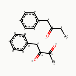 CC(=O)CC(=O)Cc1ccccc1.CCC(=O)C(=O)Cc1ccccc1